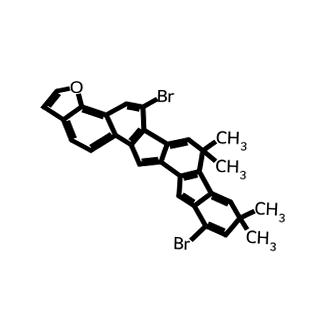 CC1(C)C=C(Br)C2=CC3=C(C2=C1)C(C)(C)C=C1C3=Cc2c1c(Br)cc1c2ccc2ccoc21